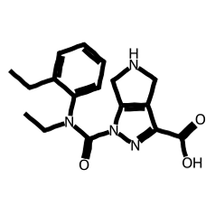 CCc1ccccc1N(CC)C(=O)n1nc(C(=O)O)c2c1CNC2